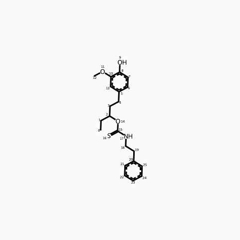 CCC(CCc1ccc(O)c(OC)c1)OC(=S)NCCc1ccccc1